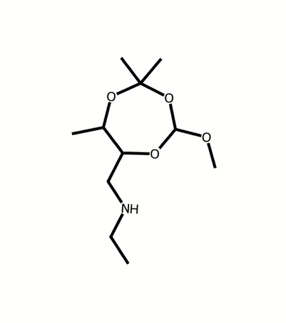 CCNCC1OC(OC)OC(C)(C)OC1C